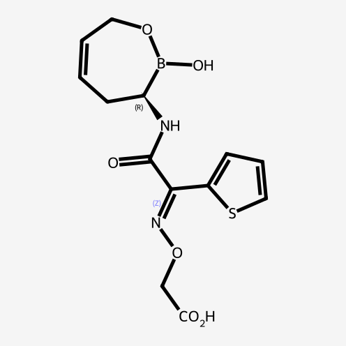 O=C(O)CO/N=C(/C(=O)N[C@H]1CC=CCOB1O)c1cccs1